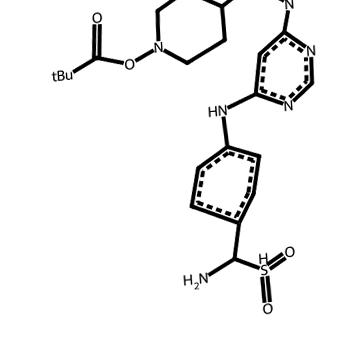 CN(CC1CCN(OC(=O)C(C)(C)C)CC1)c1cc(Nc2ccc(C(N)[SH](=O)=O)cc2)ncn1